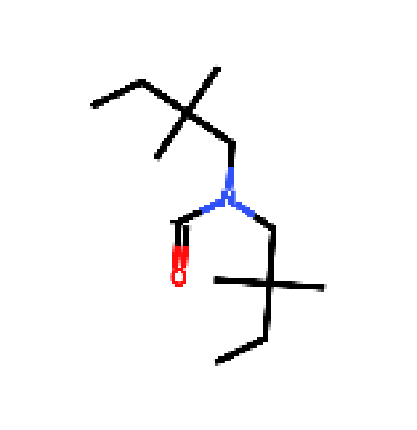 CCC(C)(C)CN([C]=O)CC(C)(C)CC